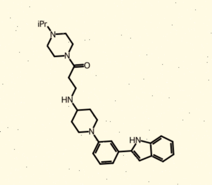 CC(C)N1CCN(C(=O)CCNC2CCN(c3cccc(-c4cc5ccccc5[nH]4)c3)CC2)CC1